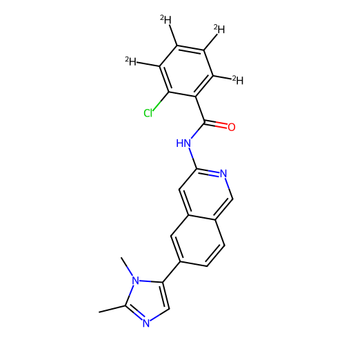 [2H]c1c([2H])c([2H])c(C(=O)Nc2cc3cc(-c4cnc(C)n4C)ccc3cn2)c(Cl)c1[2H]